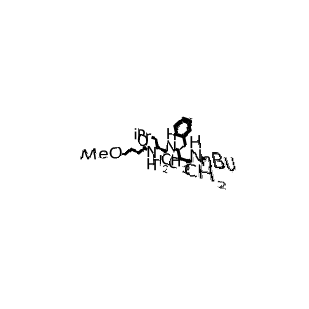 C=C(NCCCC)C(=C)[C@H](Cc1ccccc1)NC(=C)C(CC(C)C)NC(=O)CCCOC